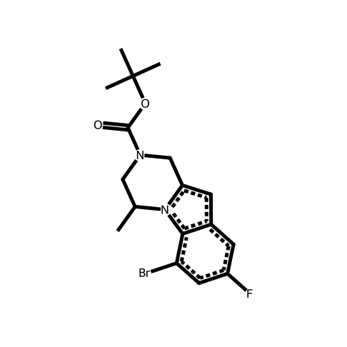 CC1CN(C(=O)OC(C)(C)C)Cc2cc3cc(F)cc(Br)c3n21